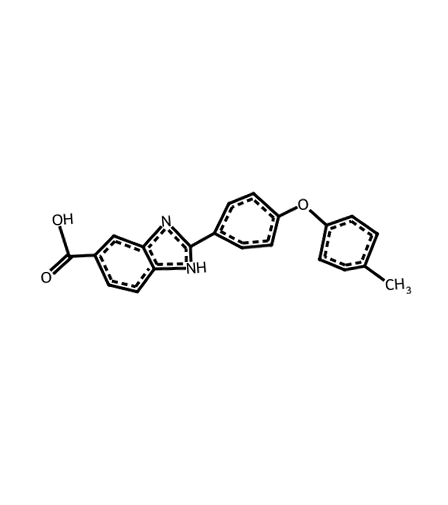 Cc1ccc(Oc2ccc(-c3nc4cc(C(=O)O)ccc4[nH]3)cc2)cc1